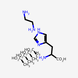 CC(=O)O.CC(=O)O.CC(=O)O.CC(=O)O.NC(Cc1c[nH]cn1)C(=O)O.NCCN